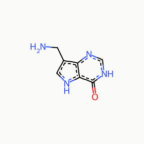 NCc1c[nH]c2c(=O)[nH]cnc12